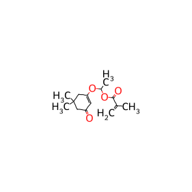 C=C(C)C(=O)OC(C)OC1=CC(=O)CC(C)(C)C1